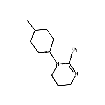 CC1CCC(N2CCCN=C2C(C)C)CC1